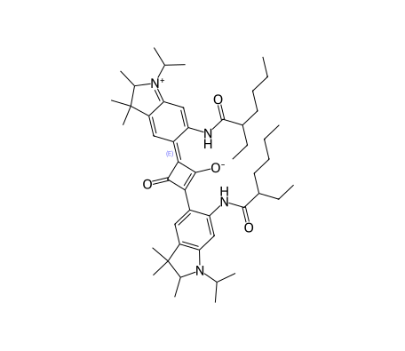 CCCCC(CC)C(=O)Nc1cc2c(cc1C1=C([O-])/C(=c3/cc4c(cc3NC(=O)C(CC)CCCC)=[N+](C(C)C)C(C)C4(C)C)C1=O)C(C)(C)C(C)N2C(C)C